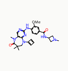 COc1cc(C(=O)NC2CN(C)C2)ccc1Nc1ncc2c(n1)N(C1=CC=C1)CC(C)(C)C(=O)N2C